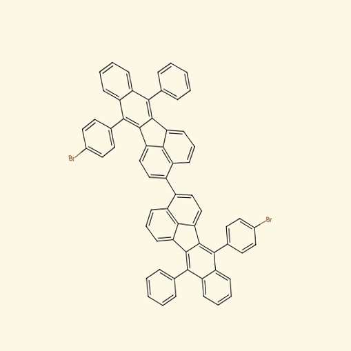 Brc1ccc(-c2c3c(c(-c4ccccc4)c4ccccc24)-c2cccc4c(-c5ccc6c7c(cccc57)-c5c-6c(-c6ccc(Br)cc6)c6ccccc6c5-c5ccccc5)ccc-3c24)cc1